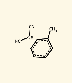 Cc1ccccc1.N#C[Se]C#N